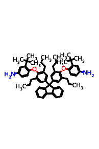 CCCc1cc(C2(c3cc(CCC)c(Oc4ccc(N)cc4C(C)(C)C)c(CCC)c3)c3ccccc3-c3ccccc32)cc(CCC)c1Oc1ccc(N)cc1C(C)(C)C